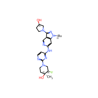 CC[C@H](C)n1nc(N2CC[C@@H](O)C2)c2cnc(Nc3ccnc(N4CC[C@](C)(O)[C@H](F)C4)n3)cc21